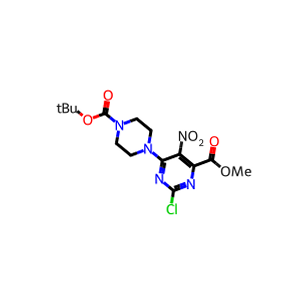 COC(=O)c1nc(Cl)nc(N2CCN(C(=O)OC(C)(C)C)CC2)c1[N+](=O)[O-]